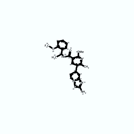 COc1nc(C)c(-c2ccn3nc(N)nc3c2)cc1C(=O)NC(C)c1ccccc1OC(F)(F)F